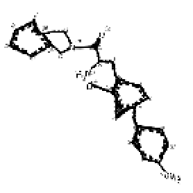 COc1ccc(-c2ccc(CC(N)C(=O)N3Cc4ccccc4C3)c(Cl)c2)cc1